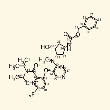 CC(C)N(C(=O)c1cc(F)ccc1Oc1cncnc1N(C)[C@H]1C[C@@H](NC(=O)OCc2ccccc2)C[C@H]1O)C(C)C